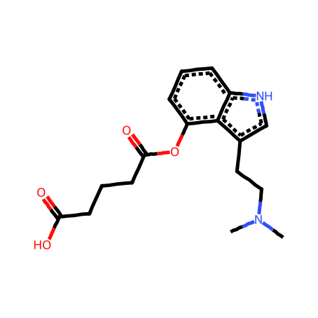 CN(C)CCc1c[nH]c2cccc(OC(=O)CCCC(=O)O)c12